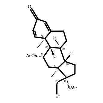 CCS[C@]1(SC)CC[C@H]2[C@@H]3CCC4=CC(=O)C=C[C@]4(C)[C@@]3(F)[C@@H](OC(C)=O)C[C@@]21C